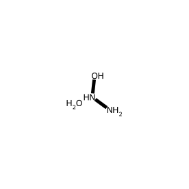 NNO.O